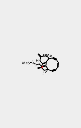 C=C(NC1=C2/C(=C\CSSSC)[C@](C)(C#C/C=C\C#CC2O)[C@H](C)C1=C)OC